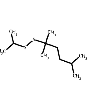 CC(C)CCC(C)(C)SSC(C)C